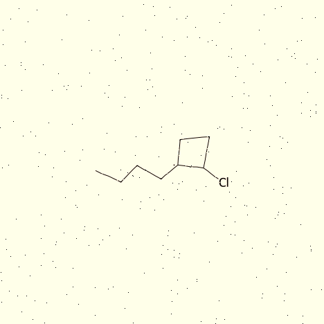 CCCC[C]1CCC1Cl